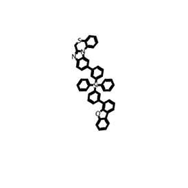 c1ccc([Si](c2ccccc2)(c2cccc(-c3ccc4nc5n(c4c3)-c3ccccc3SC5)c2)c2cccc(-c3cccc4c3oc3ccccc34)c2)cc1